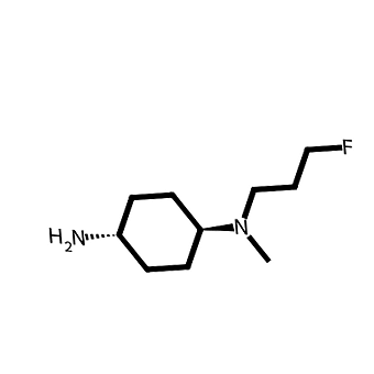 CN(CCCF)[C@H]1CC[C@H](N)CC1